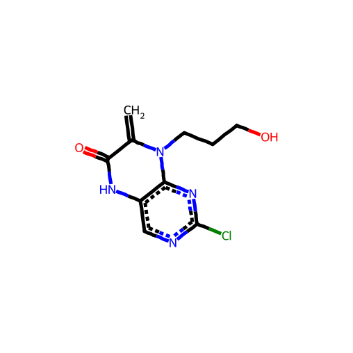 C=C1C(=O)Nc2cnc(Cl)nc2N1CCCO